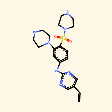 C=Cc1cnc(Nc2ccc(S(=O)(=O)N3CCNCC3)c(N3CCNCC3)c2)nc1